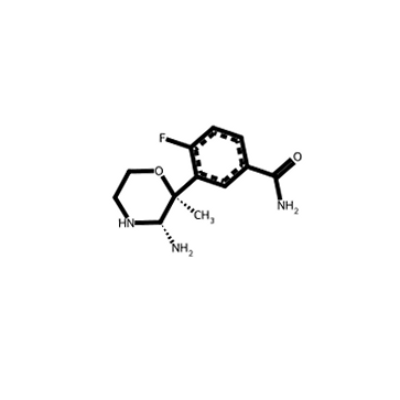 C[C@@]1(c2cc(C(N)=O)ccc2F)OCCN[C@H]1N